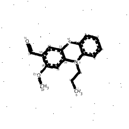 CCCN1c2ccccc2Sc2cc(C=O)c(OC)cc21